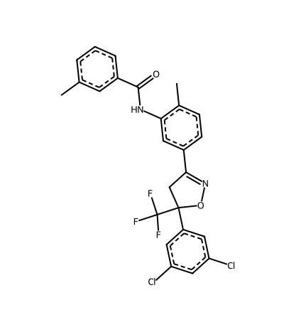 Cc1cccc(C(=O)Nc2cc(C3=NOC(c4cc(Cl)cc(Cl)c4)(C(F)(F)F)C3)ccc2C)c1